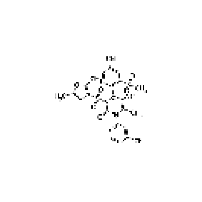 [C-]#[N+]C1=C(C)N(c2cccc(C(F)(F)F)c2)C(=O)N(S(=O)(=O)c2cc(C)oc2C)[C@@H]1c1ccc(C#N)cc1S(C)(=O)=O